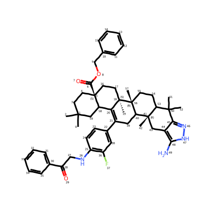 CC1(C)CC[C@]2(C(=O)OCc3ccccc3)CC[C@]3(C)C(=C(c4ccc(NCC(=O)c5ccccc5)c(F)c4)CC4[C@@]5(C)Cc6c(n[nH]c6N)C(C)(C)C5CC[C@]43C)C2C1